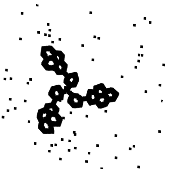 c1cc(-c2cc3ccc4cccc5ccc(c2)c3c45)cc(N(c2cccc(-c3cc4ccc5cccc6ccc(c3)c4c56)c2)c2cccc(-c3cc4ccc5cccc6ccc(c3)c4c56)c2)c1